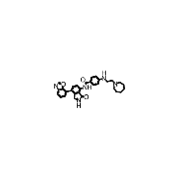 O=C(Nc1ccc(-c2cccc3ncoc23)c2c1C(=O)NC2)c1ccc(NCCN2CCCCCC2)cc1